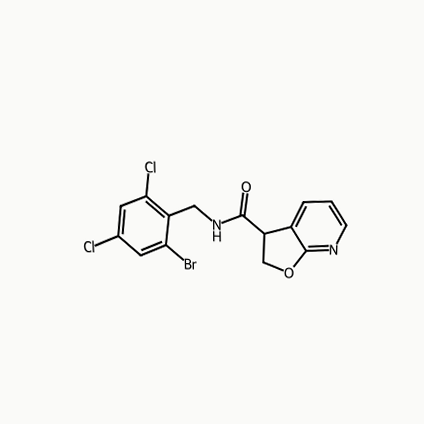 O=C(NCc1c(Cl)cc(Cl)cc1Br)C1COc2ncccc21